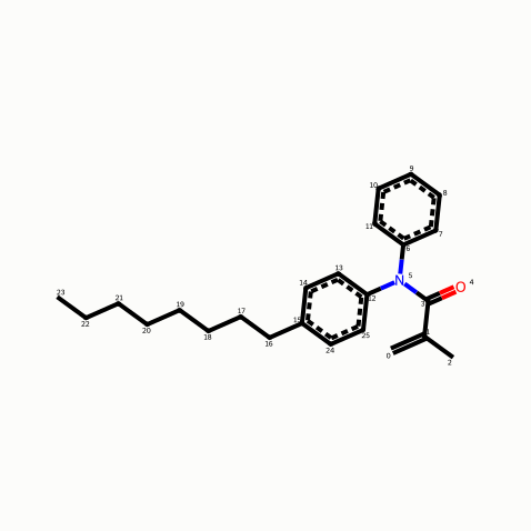 C=C(C)C(=O)N(c1ccccc1)c1ccc(CCCCCCCC)cc1